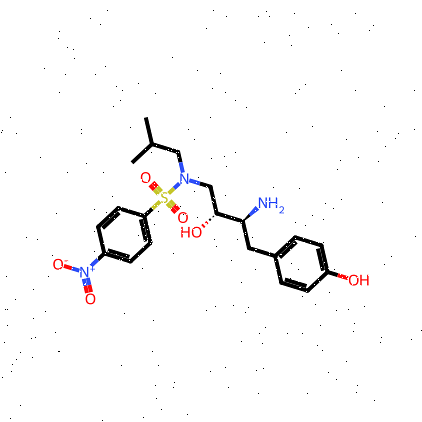 CC(C)CN(C[C@@H](O)[C@@H](N)Cc1ccc(O)cc1)S(=O)(=O)c1ccc([N+](=O)[O-])cc1